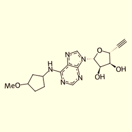 C#C[C@H]1O[C@@H](n2cnc3c(NC4CCC(OC)C4)ncnc32)[C@H](O)[C@@H]1O